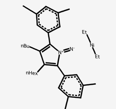 CCCCCCC1=C(c2cc(C)cc(C)c2)[N+](=[N-])C(c2cc(C)cc(C)c2)=C1CCCC.C[CH2][Ni][CH2]C